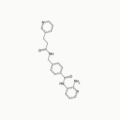 Nc1ncccc1NC(=O)c1ccc(CNC(=O)CCc2cccnc2)cc1